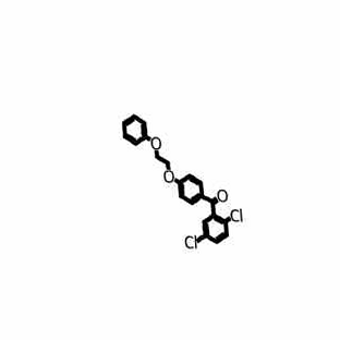 O=C(c1ccc(OCCOc2ccccc2)cc1)c1cc(Cl)ccc1Cl